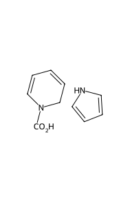 O=C(O)N1C=CC=CC1.c1cc[nH]c1